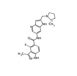 Cc1n[nH]c2ccc(C(=O)Nc3cnc4cc(CN5CCC[C@@H]5C)[nH]c4c3)c(F)c12